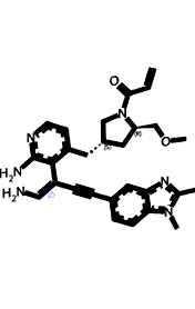 C=CC(=O)N1C[C@@H](Cc2ccnc(N)c2/C(C#Cc2ccc3c(c2)nc(C)n3C)=C\N)C[C@@H]1COC